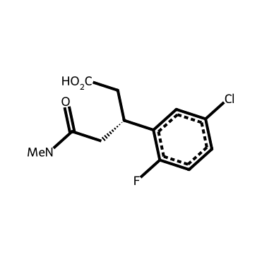 CNC(=O)C[C@H](CC(=O)O)c1cc(Cl)ccc1F